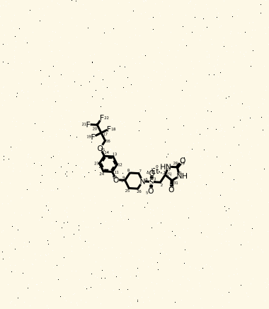 CC[C@]1(CS(=O)(=O)N2CCC(Oc3ccc(OCC(F)(F)C(F)F)cc3)CC2)NC(=O)NC1=O